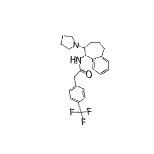 O=C(Cc1ccc(C(F)(F)F)cc1)NC1c2ccccc2CCCC1N1CCCC1